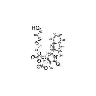 CCC1(OC(=O)OCCSSCCO)C(=O)OCc2c1cc1n(c2=O)Cc2cc3ccccc3nc2-1